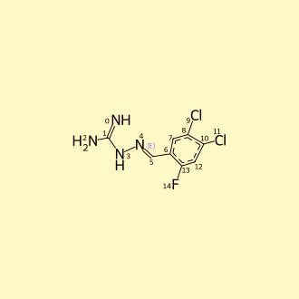 N=C(N)N/N=C/c1cc(Cl)c(Cl)cc1F